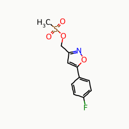 CS(=O)(=O)OCc1cc(-c2ccc(F)cc2)on1